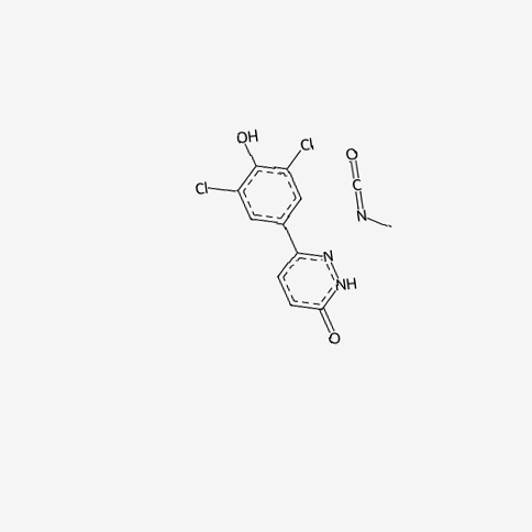 CN=C=O.O=c1ccc(-c2cc(Cl)c(O)c(Cl)c2)n[nH]1